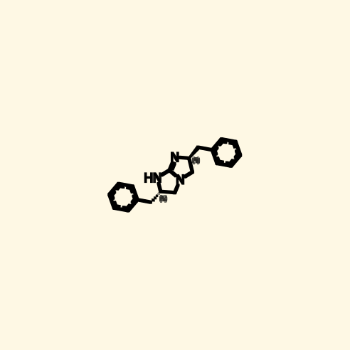 c1ccc(C[C@H]2CN3C[C@H](Cc4ccccc4)NC3=N2)cc1